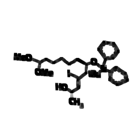 COC(CCCCC[C@H](C/C(I)=C/[C@H](C)O)O[Si](c1ccccc1)(c1ccccc1)C(C)(C)C)OC